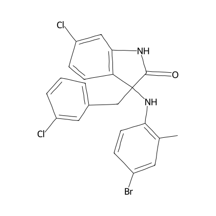 Cc1cc(Br)ccc1NC1(Cc2cccc(Cl)c2)C(=O)Nc2cc(Cl)ccc21